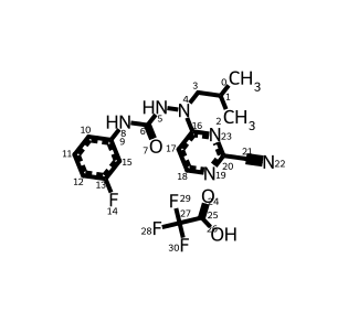 CC(C)CN(NC(=O)Nc1cccc(F)c1)c1ccnc(C#N)n1.O=C(O)C(F)(F)F